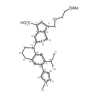 CSCCOCn1cc(C(=O)O)c2cc(N3CCCc4cc(-c5cnn(C)c5)c(C(F)F)cc43)ccc21